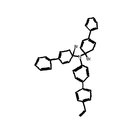 C=Cc1ccc(-c2ccc(N(C3(Br)C=CC(c4ccccc4)=CC3)C3(Br)C=CC(c4ccccc4)=CC3)cc2)cc1